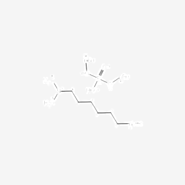 CCCCCCCCCCCCCCCCN(C)C.CCCCOP(=O)(O)OCCCC